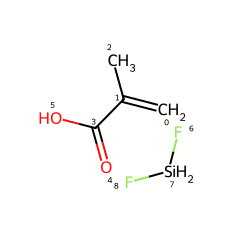 C=C(C)C(=O)O.F[SiH2]F